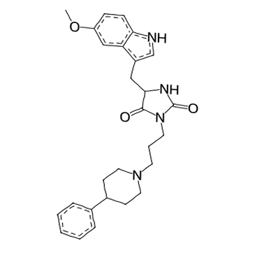 COc1ccc2[nH]cc(CC3NC(=O)N(CCCN4CCC(c5ccccc5)CC4)C3=O)c2c1